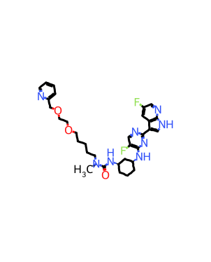 CN(CCCCCOCCOCc1ccccn1)C(=O)N[C@@H]1CCC[C@H](Nc2nc(-c3c[nH]c4ncc(F)cc34)ncc2F)C1